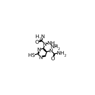 NC(=O)N(N)c1cnc(S)nc1N(N)C(N)=O